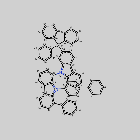 c1ccc(-c2ccc(-n3c4c(-c5ccccc5)cccc4c4cccc(-n5c6ccccc6c6ccc([Si](c7ccccc7)(c7ccccc7)c7ccccc7)cc65)c43)cc2)cc1